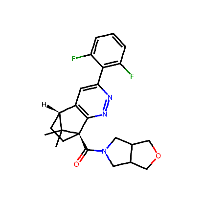 CC1(C)[C@@H]2CC[C@@]1(C(=O)N1CC3COCC3C1)c1nnc(-c3c(F)cccc3F)cc12